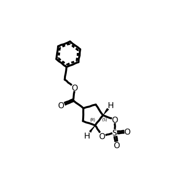 O=C(OCc1ccccc1)C1C[C@@H]2OS(=O)(=O)O[C@@H]2C1